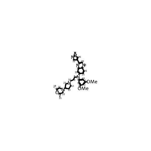 COc1cc(OC)cc(N(CCCN2CCC(N3C[C@@H](C)O[C@H](C)C3)C2)c2ccc3ncc(-c4cnn(C)c4)nc3c2)c1